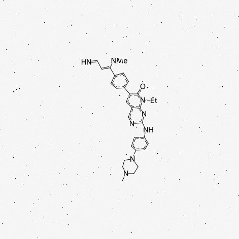 CCn1c(=O)c(-c2ccc(/C(=C/C=N)NC)cc2)cc2cnc(Nc3ccc(N4CCN(C)CC4)cc3)nc21